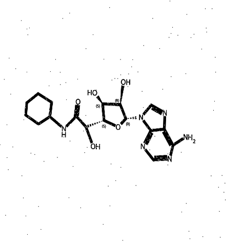 Nc1ncnc2c1ncn2[C@@H]1O[C@H](C(O)C(=O)NC2CCCCC2)[C@@H](O)[C@H]1O